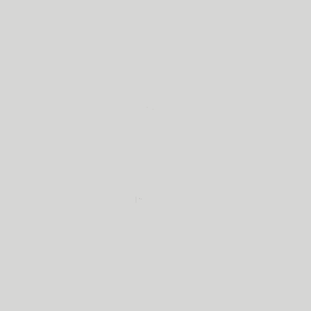 CC(C)CCCC[CH]CC(C)(C)CC(C)C